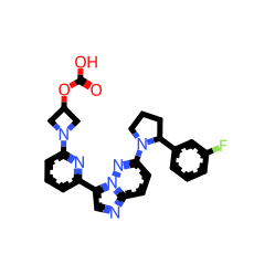 O=C(O)OC1CN(c2cccc(-c3cnc4ccc(N5CCCC5c5cccc(F)c5)nn34)n2)C1